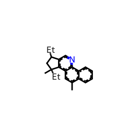 CCC1CC(C)(CC)c2c1cnc1c2cc(C)c2ccccc21